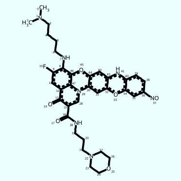 CN(C)CCCCNc1c(F)cc2c(=O)c(C(=O)NCCCN3CCOCC3)cn3c4cc5oc6cc(N=O)ccc6[nH]c5cc4oc1c23